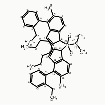 CCCCC1=Cc2c(ccc(C)c2-c2ccccc2CC)[CH]1[Zr]([Cl])([Cl])([CH]1C(CCCC)=Cc2c1ccc(C)c2-c1ccccc1CC)[SiH](C)C